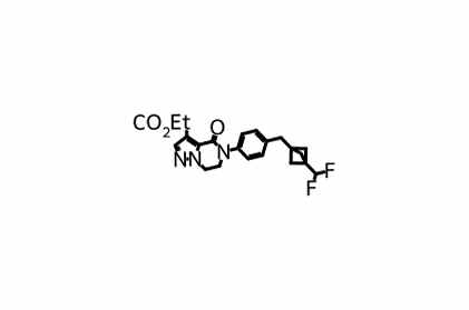 CCOC(=O)c1cnn2c1C(=O)N(c1ccc(CC34CC(C(F)F)(C3)C4)cc1)CC2